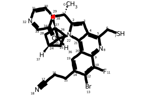 C[C@H](c1cc2c(CS)nc3c(F)c(Br)c(CCC#N)cc3c2n1[C@@H]1[C@@H]2CC[C@H]1C2)n1ccncc1=O